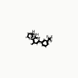 Cc1cc(-c2cccc(C(F)(F)F)c2)nc2c1N1CC[C@@H](C1)N2